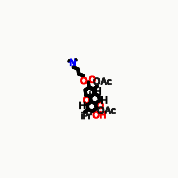 CC(=O)OCC1=C(C(=O)OCCCCN(C)C)CC[C@@]2(C)[C@H]1C[C@@H]1O[C@@]13[C@H](OC(C)=O)[C@](O)(C(C)C)C(C)[C@@H]1O[C@@]132